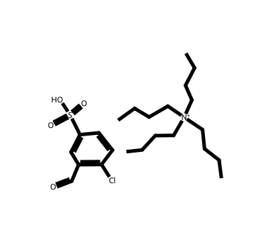 CCCC[N+](CCCC)(CCCC)CCCC.O=Cc1cc(S(=O)(=O)O)ccc1Cl